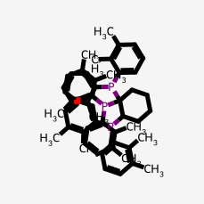 Cc1cccc(P(c2cccc(C)c2C)C2CCCCC2(P(c2cccc(C)c2C)c2cccc(C)c2C)P(c2cccc(C)c2C)c2cccc(C)c2C)c1C